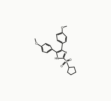 COc1ccc(-c2nc(S(=O)(=O)C3CCCC3)[nH]c2-c2ccc(OC)cc2)cc1